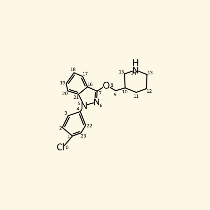 Clc1ccc(-n2nc(OCC3CCCNC3)c3ccccc32)cc1